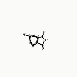 CC1OC(F)c2cc(F)ccc21